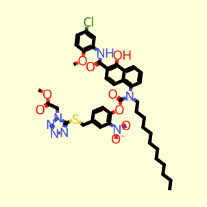 CCCCCCCCCCCCN(C(=O)Oc1ccc(CSc2nnnn2CC(=O)OC)cc1[N+](=O)[O-])c1cccc2c(O)c(C(=O)Nc3cc(Cl)ccc3OC)ccc12